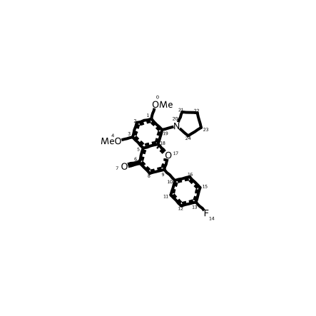 COc1cc(OC)c2c(=O)cc(-c3ccc(F)cc3)oc2c1N1CCCC1